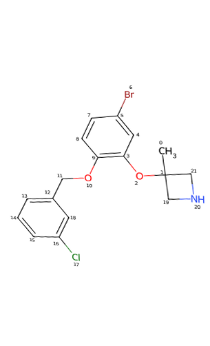 CC1(Oc2cc(Br)ccc2OCc2cccc(Cl)c2)CNC1